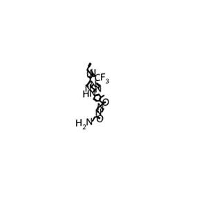 C#CCn1cc(-c2cnc3c(Nc4ccc(C(=O)N5CCN(C(=O)CCN)CC5)c(C)c4)nccn23)c(C(F)(F)F)n1